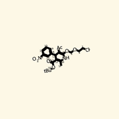 CC(=O)C1=C(OCOCCCl)NC(C)=C(C(=O)OC(C)(C)C)C1c1cccc([N+](=O)[O-])c1